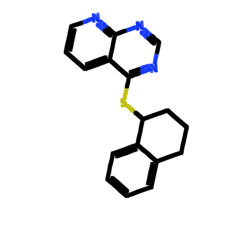 c1ccc2c(c1)CCCC2Sc1ncnc2ncccc12